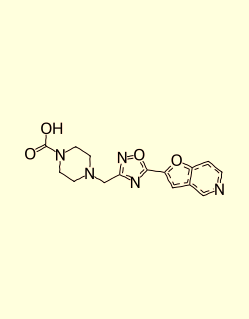 O=C(O)N1CCN(Cc2noc(-c3cc4cnccc4o3)n2)CC1